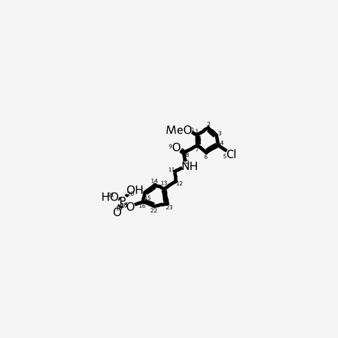 COc1ccc(Cl)cc1C(=O)NCCc1ccc(OP(=O)(O)O)cc1